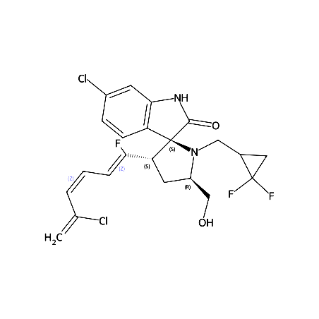 C=C(Cl)/C=C\C=C(/F)[C@H]1C[C@H](CO)N(CC2CC2(F)F)[C@@]12C(=O)Nc1cc(Cl)ccc12